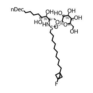 CCCCCCCCCCCCCC[C@@H](O)[C@@H](O)[C@H](CO[C@H]1O[C@H](CO)[C@H](O)[C@H](O)[C@H]1O)N[S+]([O-])CCCCCCCCCCC12CC(F)(C1)C2